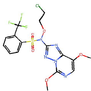 COc1cnc(OC)n2nc(N(OCCCl)S(=O)(=O)c3ccccc3C(F)(F)F)nc12